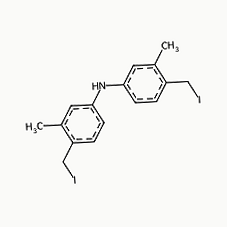 Cc1cc(Nc2ccc(CI)c(C)c2)ccc1CI